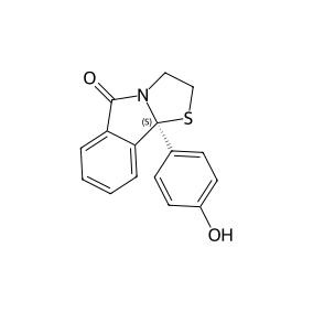 O=C1c2ccccc2[C@]2(c3ccc(O)cc3)SCCN12